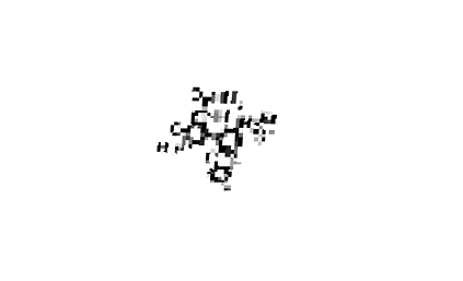 CC[S+]([O-])Nc1cnc(Oc2ccc(F)cc2F)c(-c2cn(C)c(=O)c3cc(C(N)=O)[nH]c23)c1